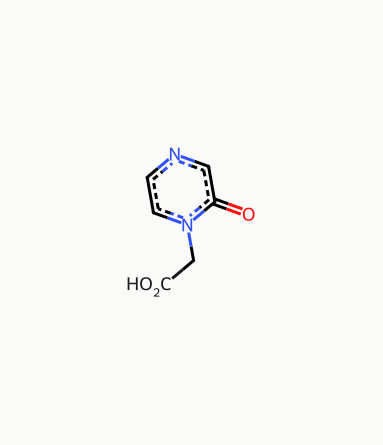 O=C(O)Cn1ccncc1=O